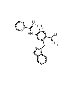 C=C(Nc1cc(Cn2nnc3ccccc32)c(C(=C)CC)cc1C)c1ccccc1